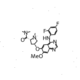 COc1cc2ncnc(Nc3ccc(F)cc3F)c2cc1O[C@H]1C[C@H](C(=O)N(C)C)N(C)C1